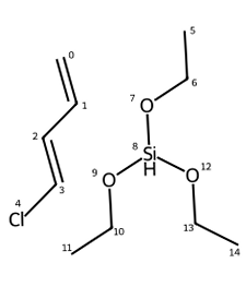 C=CC=CCl.CCO[SiH](OCC)OCC